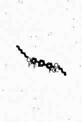 C=CCCC1COC(c2ccc(-c3ccc(-c4ccc(OCCCCCCCC)c(F)c4F)cc3)cc2F)OC1